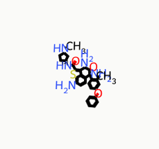 CNC1CC[C@H](NC(=O)c2sc3c(N)ccc4c3c2C(N)C(=O)C4(N)c2ccc(Oc3ccccc3)cc2C)C1